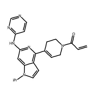 C=CC(=O)N1CC=C(c2nc(Nc3ccncn3)cc3c2ccn3C(C)C)CC1